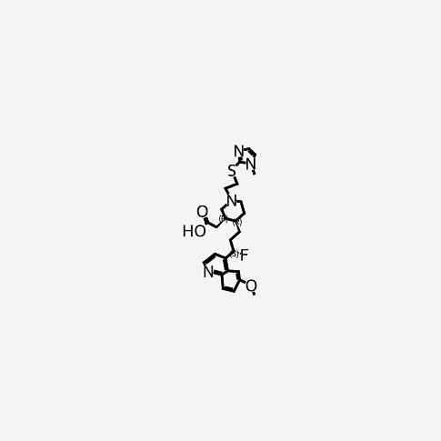 COc1ccc2nccc([C@@H](F)CC[C@@H]3CCN(CCSc4nccn4C)C[C@@H]3CC(=O)O)c2c1